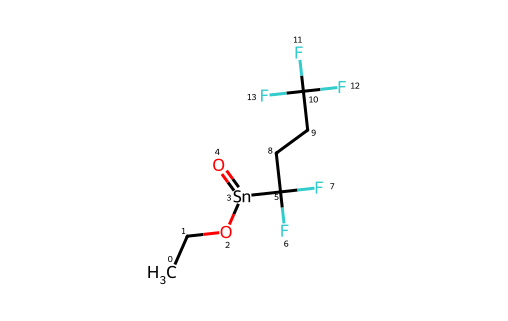 CC[O][Sn](=[O])[C](F)(F)CCC(F)(F)F